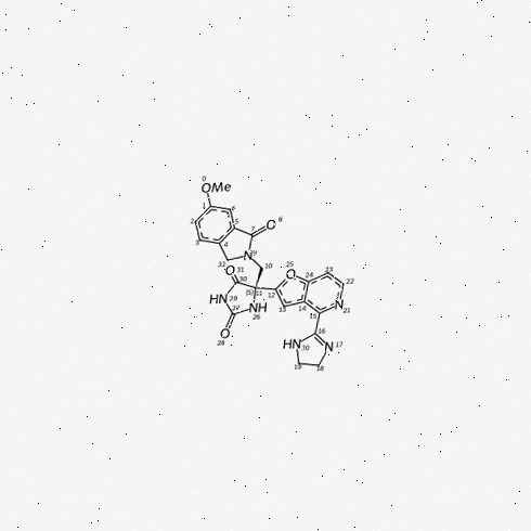 COc1ccc2c(c1)C(=O)N(C[C@@]1(c3cc4c(C5=NCCN5)nccc4o3)NC(=O)NC1=O)C2